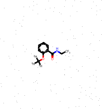 [2H]C([2H])([2H])Oc1ccccc1C(=O)NCC(F)(F)F